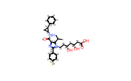 CC(C)c1c(C(=O)NC2CC2c2ccccc2)nc(-c2ccc(F)cc2)n1CC[C@@H](O)C[C@@H](O)CC(=O)O